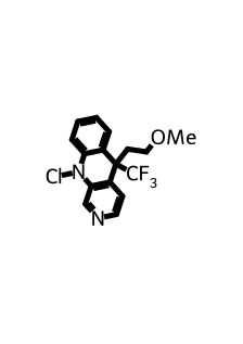 COCCC1(C(F)(F)F)c2ccccc2N(Cl)c2cnccc21